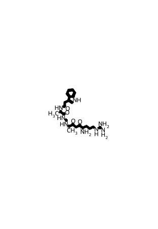 C[C@H](NCNC(=O)[C@@H](C)NC(=O)Cc1c[nH]c2ccccc12)C(=O)CC(=O)[C@@H](N)CCCNC(N)N